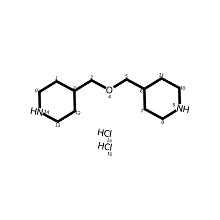 C1CC(COCC2CCNCC2)CCN1.Cl.Cl